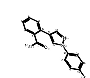 O=C(O)c1ccccc1-c1cnn(-c2ccc(F)cc2)c1